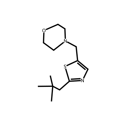 CC(C)(C)Cc1ncc(CN2CCOCC2)s1